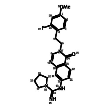 COc1ccc(CCn2cnc3cc(NC(=N)N4CCCC4)ccc3c2=O)c(F)c1